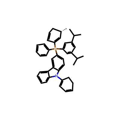 CC(C)c1cc(C(C)C)cc(S(C2=C[C@@H](C)CC=C2)(c2ccccc2)c2ccc3c(c2)c2ccccc2n3C2=CC=CCC2)c1